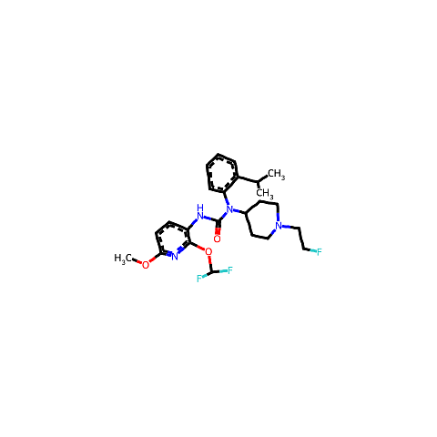 COc1ccc(NC(=O)N(c2ccccc2C(C)C)C2CCN(CCF)CC2)c(OC(F)F)n1